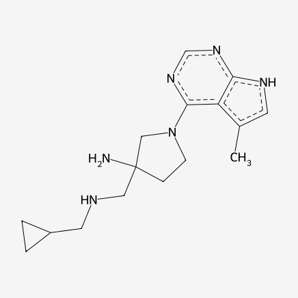 Cc1c[nH]c2ncnc(N3CCC(N)(CNCC4CC4)C3)c12